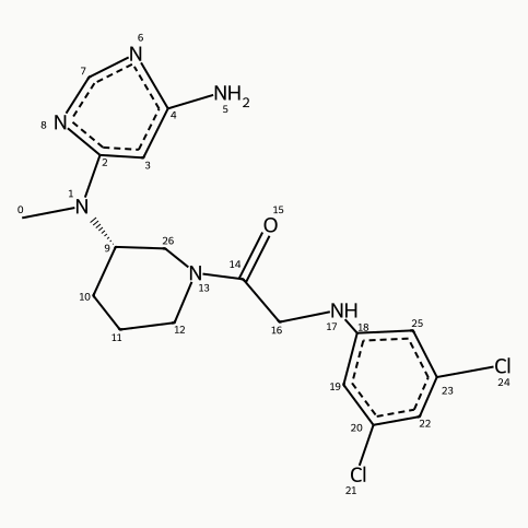 CN(c1cc(N)ncn1)[C@H]1CCCN(C(=O)CNc2cc(Cl)cc(Cl)c2)C1